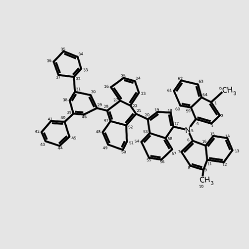 Cc1ccc(N(c2ccc(C)c3ccccc23)c2ccc(-c3c4ccccc4c(-c4cc(-c5ccccc5)cc(-c5ccccc5)c4)c4ccccc34)c3ccccc23)c2ccccc12